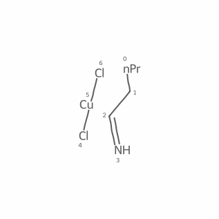 CCCCC=N.[Cl][Cu][Cl]